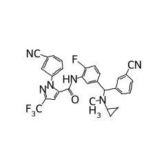 CN(C1CC1)C(c1cccc(C#N)c1)c1ccc(F)c(NC(=O)c2cc(C(F)(F)F)nn2-c2cccc(C#N)c2)c1